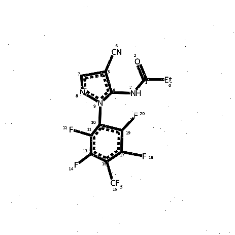 CCC(=O)Nc1c(C#N)cnn1-c1c(F)c(F)c(C(F)(F)F)c(F)c1F